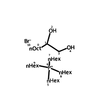 CCCCCCCCC(O)CO.CCCCCC[P+](CCCCCC)(CCCCCC)CCCCCC.[Br-]